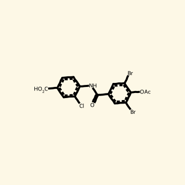 CC(=O)Oc1c(Br)cc(C(=O)Nc2ccc(C(=O)O)cc2Cl)cc1Br